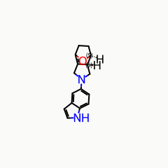 c1cc2cc(N3CC4=C5CC[C@H](O5)[C@@H]4C3)ccc2[nH]1